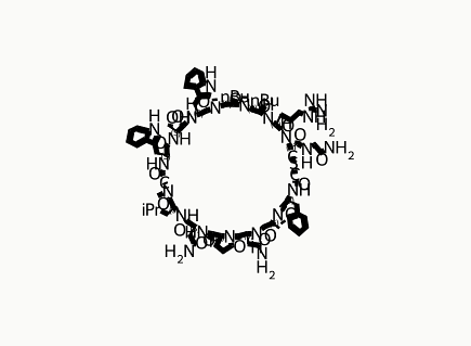 CCCC[C@H]1C(=O)N(C)[C@@H](CCCC)C(=O)N[C@@H](CCCNC(=N)N)C(=O)N[C@H](C(=O)NCC(N)=O)CSCC(=O)N[C@@H](Cc2ccccc2)C(=O)N(C)[C@@H](C)C(=O)N[C@@H](CC(N)=O)C(=O)N2CCC[C@H]2C(=O)N[C@@H](CC(N)=O)C(=O)N[C@@H](CC(C)C)C(=O)N(C)CC(=O)N[C@@H](Cc2c[nH]c3ccccc23)C(=O)N[C@@H](CO)C(=O)N[C@@H](Cc2c[nH]c3ccccc23)C(=O)N1C